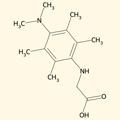 Cc1c(C)c(N(C)C)c(C)c(C)c1NCC(=O)O